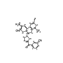 N#Cc1cccc(C(=O)N2CC[C@H](N(CC3=CC=C(F)CC3C(F)(F)F)C3C=CC(N)=C(Cl)C3)C2)c1